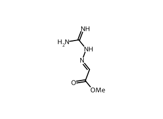 COC(=O)C=NNC(=N)N